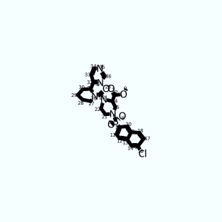 COC(=O)C1CN(S(=O)(=O)c2ccc3cc(Cl)ccc3c2)CCN1C(=O)N1CCCCC1c1ccncn1